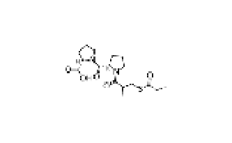 CCC(=O)SCC(C)C(=O)N1CCC[C@H]1C(=O)N1CCC[C@H]1C(=O)O